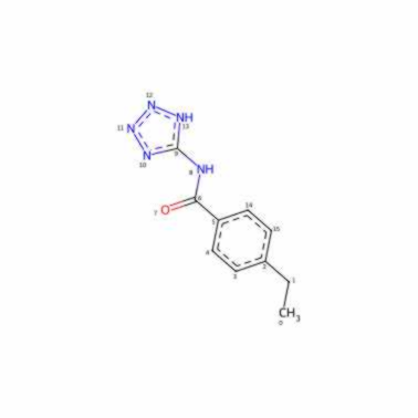 CCc1ccc(C(=O)Nc2nnn[nH]2)cc1